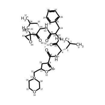 CC(C)C[C@H](NC(=O)C1=NOC(CN2CCOCC2)C1)C(=O)NC(Cc1ccccc1)C(=O)N[C@@H](CC(C)C)C(=O)C1(C)CO1